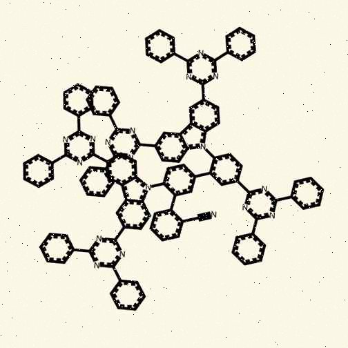 N#Cc1ccccc1-c1cc(-c2cc(-c3nc(-c4ccccc4)nc(-c4ccccc4)n3)ccc2-n2c3ccc(-c4nc(-c5ccccc5)nc(-c5ccccc5)n4)cc3c3cc(-c4nc(-c5ccccc5)nc(-c5ccccc5)n4)ccc32)ccc1-n1c2ccc(-c3nc(-c4ccccc4)nc(-c4ccccc4)n3)cc2c2cc(-c3nc(-c4ccccc4)nc(-c4ccccc4)n3)ccc21